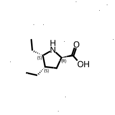 CC[C@H]1C[C@H](C(=O)O)N[C@H]1CC